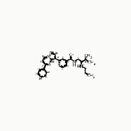 CCCNC(CNC(=O)c1ccnc(-c2cnn3ccc(-c4ccccc4)nc23)c1)C(C)C